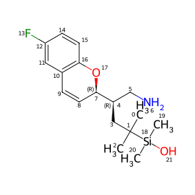 CC(C)(C[C@H](CN)[C@H]1C=Cc2cc(F)ccc2O1)[Si](C)(C)O